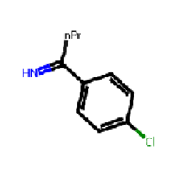 CCCC(=N)c1ccc(Cl)cc1